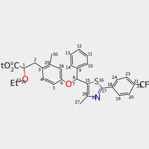 CCOC(=O)C(Cc1ccc(OC(c2ccccc2)c2sc(-c3ccc(C(F)(F)F)cc3)nc2C)cc1C)OCC